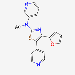 CC(=O)N(c1cccnc1)c1nc(-c2ccco2)c(-c2ccncc2)s1